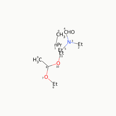 CCCC.CCN(C=O)CC.CCOC(C)OCC